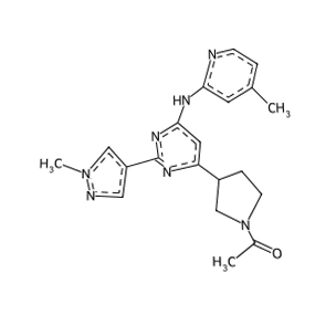 CC(=O)N1CCC(c2cc(Nc3cc(C)ccn3)nc(-c3cnn(C)c3)n2)C1